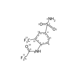 NS(=O)(=O)c1ccc(NC(=O)C(F)(F)F)c(C(F)(F)F)c1